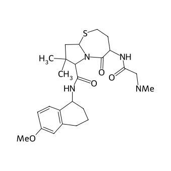 CNCC(=O)NC1CCSC2CC(C)(C)C(C(=O)NC3CCCc4cc(OC)ccc43)N2C1=O